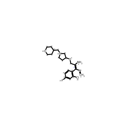 C=N/C(=C(\N)COC1CCN(CC2CCOCC2)C1)c1ccc(F)cc1Cl